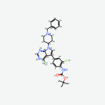 CC(C)(C)OC(=O)Nc1ccc(-c2cn(C3CCN(Cc4ccccc4)CC3)c3ncnc(Cl)c23)cc1F